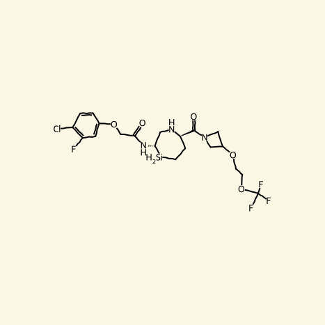 O=C(COc1ccc(Cl)c(F)c1)N[C@@H]1CN[C@@H](C(=O)N2CC(OCCOC(F)(F)F)C2)CC[SiH2]1